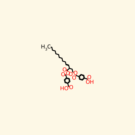 CCCCCCCCCCC=CC(CC(=O)OC(=O)c1ccc(C(=O)O)cc1)C(=O)OC(=O)c1ccc(C(=O)O)cc1